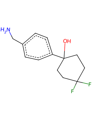 NCc1ccc(C2(O)CCC(F)(F)CC2)cc1